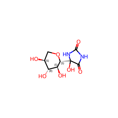 O=C1NC(=O)C(O)([C@H]2OC[C@H](O)[C@@H](O)[C@@H]2O)N1